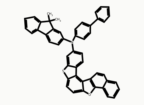 CC1(C)c2ccccc2-c2ccc(N(c3ccc(-c4ccccc4)cc3)c3ccc4c(c3)sc3ccc5oc6c7ccccc7ccc6c5c34)cc21